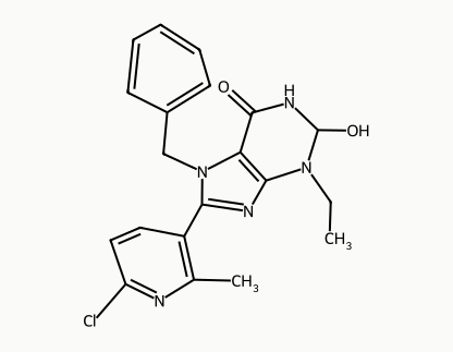 CCN1c2nc(-c3ccc(Cl)nc3C)n(Cc3ccccc3)c2C(=O)NC1O